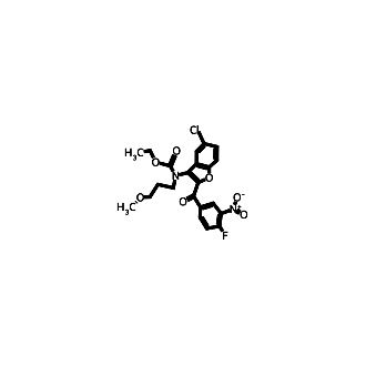 CCOC(=O)N(CCCOC)c1c(C(=O)c2ccc(F)c([N+](=O)[O-])c2)oc2ccc(Cl)cc12